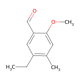 CCc1cc(C=O)c(OC)cc1C